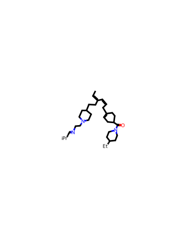 C/C=C(\C=C/CC1=CCC(C(=O)N2CCC(CC)CC2)CC1)CCC1CCN(CC/N=C/C(C)C)CC1